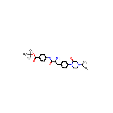 CC(C)N1CCN(c2ccc(C[C@H](N)C(=O)Nc3ccc(C(=O)OC(C)(C)C)cc3)cc2)C(=O)C1